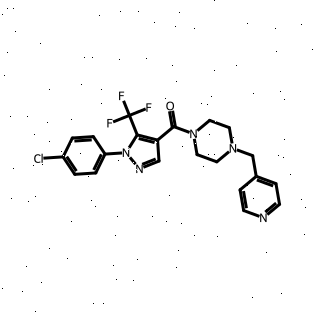 O=C(c1cnn(-c2ccc(Cl)cc2)c1C(F)(F)F)N1CCN(Cc2ccncc2)CC1